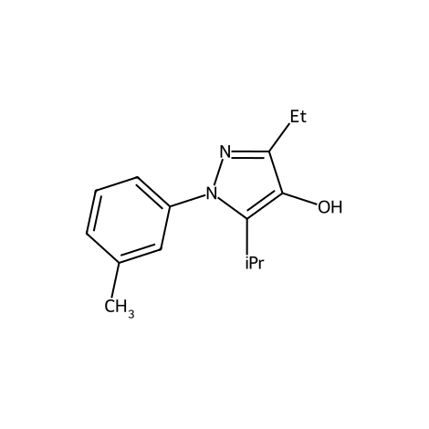 CCc1nn(-c2cccc(C)c2)c(C(C)C)c1O